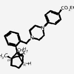 CCOC(=O)c1ccc(N2CCN(Cc3ccccc3C3=C[C@H]4CC[C@@]3(C)C4(C)C)CC2)cc1